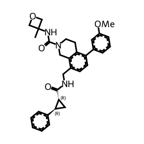 COc1cccc(-c2ccc(CNC(=O)[C@@H]3C[C@H]3c3ccccc3)c3c2CCN(C(=O)NC2(C)COC2)C3)c1